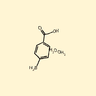 Bc1ccc(C(=O)O)cc1.O.O